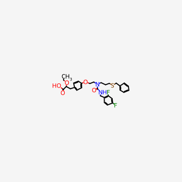 CCOC(Cc1ccc(OCCN(CCCSCc2ccccc2)C(=O)NCc2ccc(F)cc2F)cc1)C(=O)O